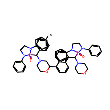 N#Cc1ccc(C(N2CCOC(c3cccc4c(C(N5CCOCC5)P5(=O)N(c6ccccc6)CCN5c5ccccc5)cccc34)C2)P2(=O)N(c3ccccc3)CCN2c2ccccc2)cc1